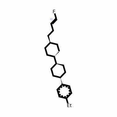 CCc1ccc([C@H]2CC[C@H]([C@H]3CC[C@H](CC/C=C/F)CC3)CC2)cc1